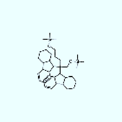 C[Si](C)(C)OCCCC(CO[Si](C)(C)C)(C1C2C=CC=CC2C2CCCCC21)C1C2C=CC=CC2C2CCCCC21